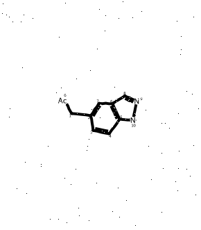 CC(=O)Cc1ccc2c(c1)C=N[N]2